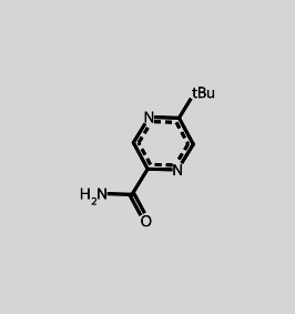 CC(C)(C)c1cnc(C(N)=O)cn1